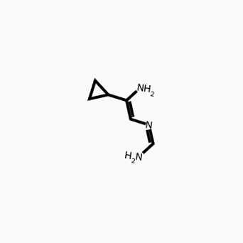 N/C=N\C=C(/N)C1CC1